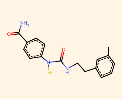 Cc1cccc(CCNC(=O)N(S)c2ccc(C(N)=O)cc2)c1